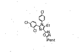 CCCC(C)c1nnc(-c2nc(-c3ccc(Cl)cc3Cl)n(-c3ccc(Cl)cc3)c2CC)o1